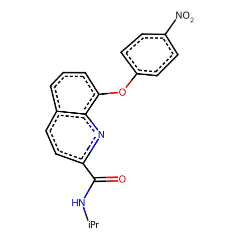 CC(C)NC(=O)c1ccc2cccc(Oc3ccc([N+](=O)[O-])cc3)c2n1